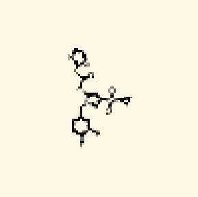 O=C(Nc1nccs1)Oc1cc(S(=O)(=O)C2CC2)cn1Cc1ccc(F)c(F)c1